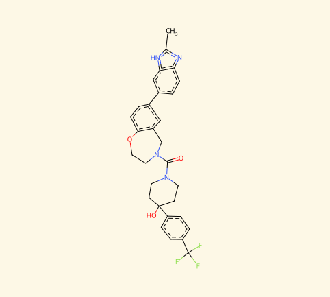 Cc1nc2ccc(-c3ccc4c(c3)CN(C(=O)N3CCC(O)(c5ccc(C(F)(F)F)cc5)CC3)CCO4)cc2[nH]1